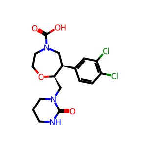 O=C(O)N1CCO[C@H](CN2CCCNC2=O)[C@H](c2ccc(Cl)c(Cl)c2)C1